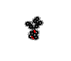 C[Si]1(C)c2ccccc2C2(c3ccccc3-c3cccc4cccc2c34)c2ccc(N(c3ccc4c(c3)oc3ccccc34)c3ccc4c5ccccc5n(-c5cccc6ccccc56)c4c3)cc21